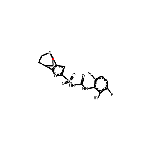 CC(C)c1ccc(F)c(C(C)C)c1NC(=O)NS(=O)(=O)c1cc2c(o1)C1CCN(CC1)C2